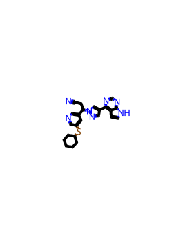 N#CCC(c1cncc(SC2CCCCC2)c1)n1cc(-c2ncnc3[nH]ccc23)cn1